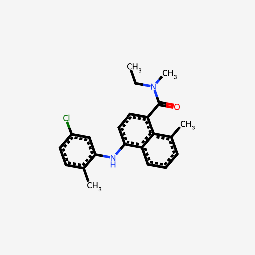 CCN(C)C(=O)c1ccc(Nc2cc(Cl)ccc2C)c2cccc(C)c12